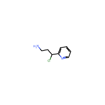 NCCC(Cl)c1ccccn1